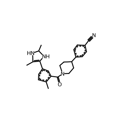 CC1=C(c2ccc(C)c(C(=O)N3CCC(c4ccc(C#N)cc4)CC3)c2)NC(C)N1